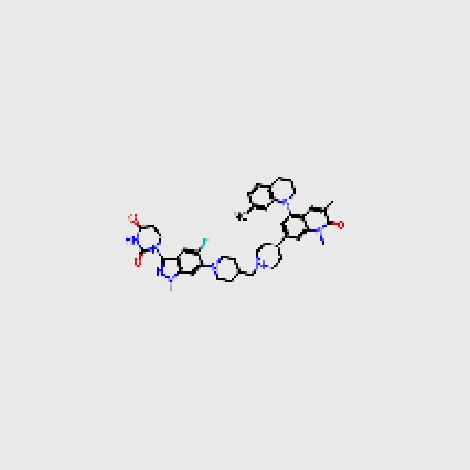 Cc1cc2c(N3CCCc4ccc(C#N)cc43)cc(C3CCN(CC4CCN(c5cc6c(cc5F)c(N5CCC(=O)NC5=O)nn6C)CC4)CC3)cc2n(C)c1=O